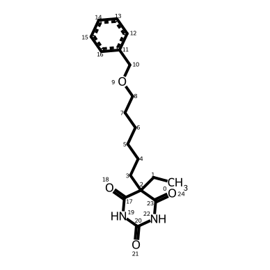 CCC1(CCCCCCOCc2ccccc2)C(=O)NC(=O)NC1=O